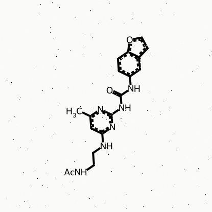 CC(=O)NCCNc1cc(C)nc(NC(=O)Nc2ccc3occc3c2)n1